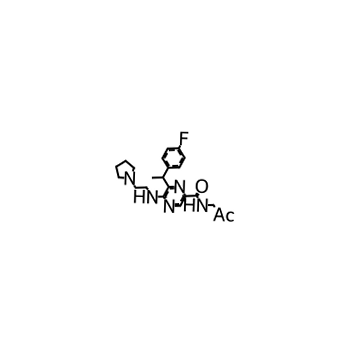 CC(=O)CNC(=O)c1cnc(NCCN2CCCC2)c(C(C)c2ccc(F)cc2)n1